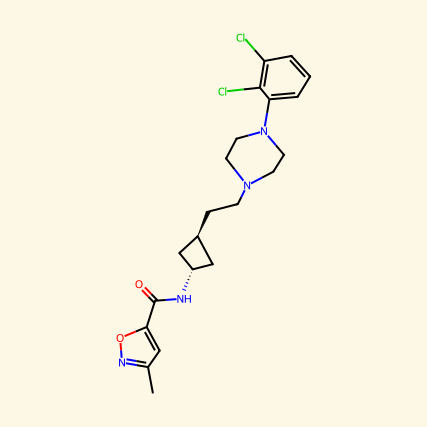 Cc1cc(C(=O)N[C@H]2C[C@H](CCN3CCN(c4cccc(Cl)c4Cl)CC3)C2)on1